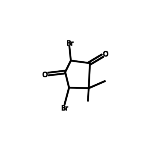 CC1(C)C(=O)C(Br)C(=O)C1Br